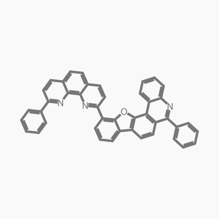 c1ccc(-c2ccc3ccc4ccc(-c5cccc6c5oc5c6ccc6c(-c7ccccc7)nc7ccccc7c65)nc4c3n2)cc1